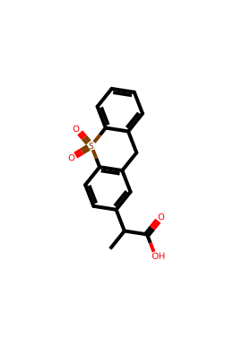 CC(C(=O)O)c1ccc2c(c1)Cc1ccccc1S2(=O)=O